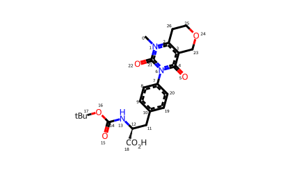 Cn1c2c(c(=O)n(-c3ccc(C[C@H](NC(=O)OC(C)(C)C)C(=O)O)cc3)c1=O)COCC2